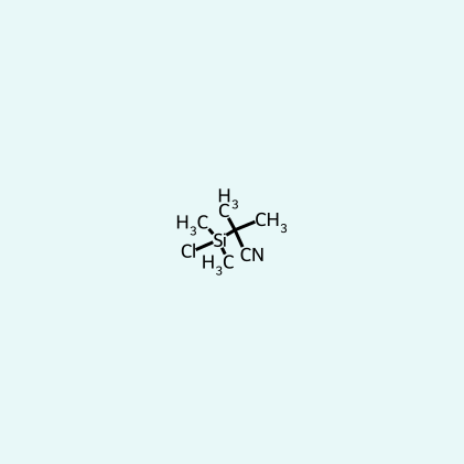 CC(C)(C#N)[Si](C)(C)Cl